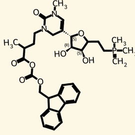 C=P(C)(C)CCC1O[C@@H](C2=CN(C)C(=O)N(CCC(C)C(=O)OC(=O)OCC3c4ccccc4-c4ccccc43)C2)[C@H](O)[C@@H]1O